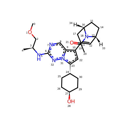 COC[C@H](C)Nc1ncc2c(C3=C[C@H]4CC[C@@H](C3)N4C(C)=O)cc([C@H]3CC[C@H](O)CC3)n2n1